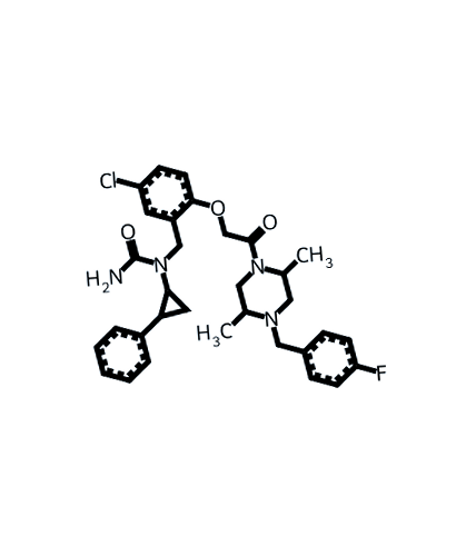 CC1CN(C(=O)COc2ccc(Cl)cc2CN(C(N)=O)C2CC2c2ccccc2)C(C)CN1Cc1ccc(F)cc1